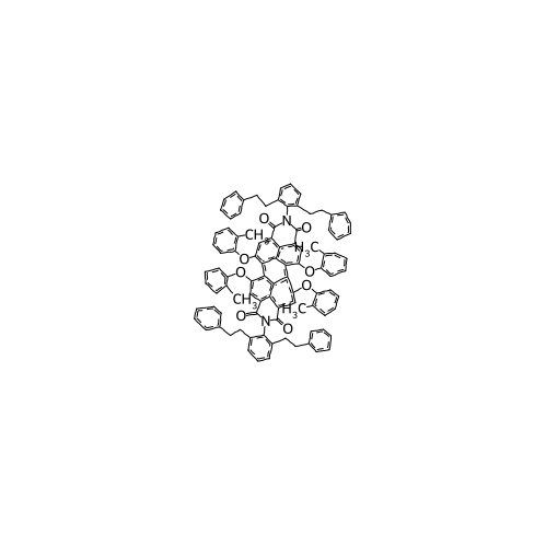 Cc1ccccc1Oc1cc2c3c(cc(Oc4ccccc4C)c4c5c(Oc6ccccc6C)cc6c7c(cc(Oc8ccccc8C)c(c1c34)c75)C(=O)N(c1c(CCc3ccccc3)cccc1CCc1ccccc1)C6=O)C(=O)N(c1c(CCc3ccccc3)cccc1CCc1ccccc1)C2=O